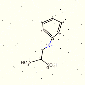 O=S(=O)(O)C(CNc1cc[c]cc1)S(=O)(=O)O